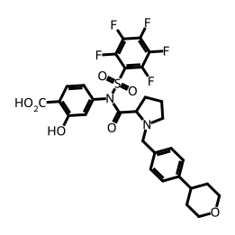 O=C(O)c1ccc(N(C(=O)C2CCCN2Cc2ccc(C3CCOCC3)cc2)S(=O)(=O)c2c(F)c(F)c(F)c(F)c2F)cc1O